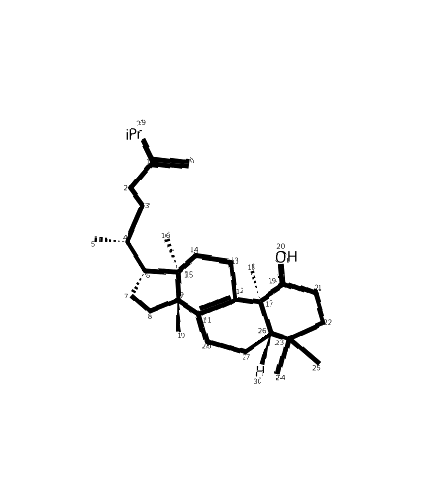 C=C(CC[C@@H](C)[C@H]1CC[C@@]2(C)C3=C(CC[C@]12C)[C@@]1(C)C(O)CCC(C)(C)[C@@H]1CC3)C(C)C